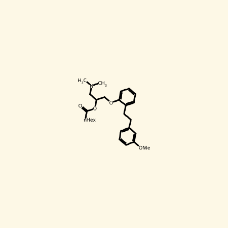 CCCCCCC(=O)OC(COc1ccccc1CCc1cccc(OC)c1)CN(C)C